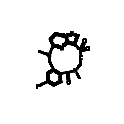 CN1CCS(=O)(=O)c2cnn3ccc(nc23)N(C)Cc2cc(F)ccc2C1=O